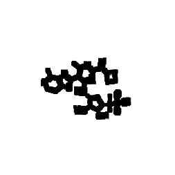 CCS(=O)(=O)C(C)(C)[C@H]1C[C@@H](Nc2nc(NC3CCC3)nc(C)c2-c2nc3c(C)nccc3s2)[C@H](O)[C@@H]1O